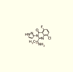 C[C@H](N)c1nc2c(Cl)ccc(F)c2c(=O)n1-c1cc[nH]n1